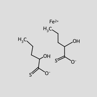 CCCC(O)C([O-])=S.CCCC(O)C([O-])=S.[Fe+2]